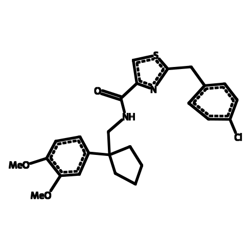 COc1ccc(C2(CNC(=O)c3csc(Cc4ccc(Cl)cc4)n3)CCCC2)cc1OC